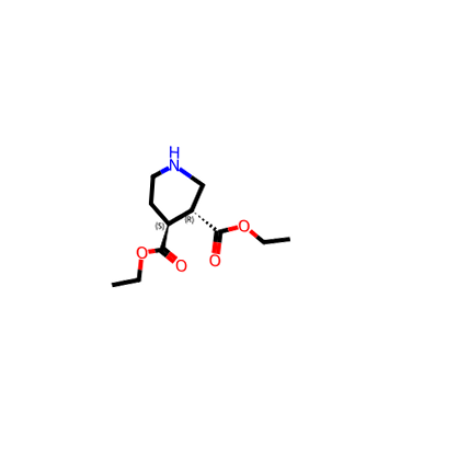 CCOC(=O)[C@H]1CCNC[C@@H]1C(=O)OCC